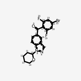 O=C(c1ccc2c(cnn2C2CCCCO2)c1)c1c(F)cc(Br)cc1F